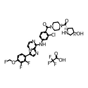 O=C(O)C(F)(F)F.O=C(c1ccc(Nc2nccn3c(-c4ccc(OCF)c(F)c4F)cnc23)cc1Cl)N1CCN(C(=O)[C@@H]2C[C@@H](O)CN2)CC1